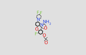 CC1(COc2cc(F)c3c(c2)C2(COCC(N)=N2)c2cc(N4CCC(F)(F)CC4)ccc2O3)COC1